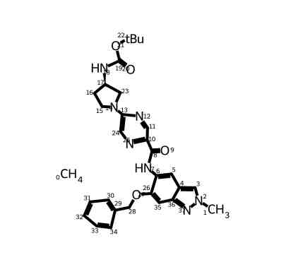 C.Cn1cc2cc(NC(=O)c3cnc(N4CC[C@@H](NC(=O)OC(C)(C)C)C4)cn3)c(OCc3ccccc3)cc2n1